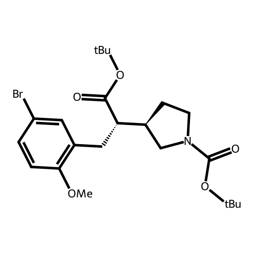 COc1ccc(Br)cc1C[C@H](C(=O)OC(C)(C)C)[C@H]1CCN(C(=O)OC(C)(C)C)C1